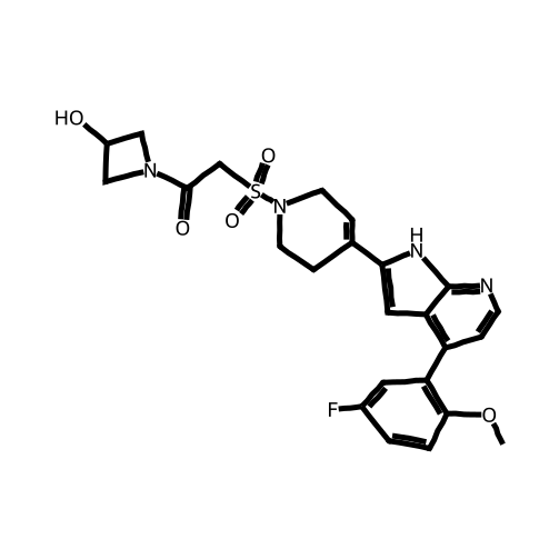 COc1ccc(F)cc1-c1ccnc2[nH]c(C3=CCN(S(=O)(=O)CC(=O)N4CC(O)C4)CC3)cc12